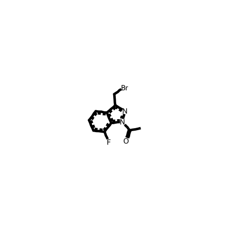 CC(=O)n1nc(CBr)c2cccc(F)c21